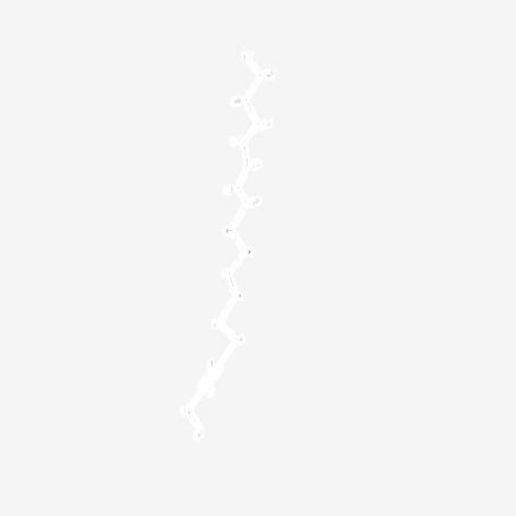 C[CH]C#CCCCCCCCCCCCCCC